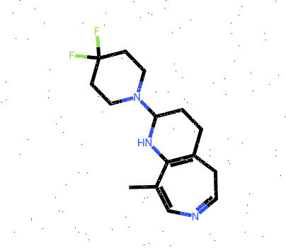 CC1=CN=CCC2=C1NC(N1CCC(F)(F)CC1)CC2